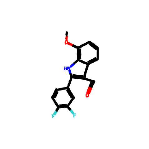 COc1cccc2c(C=O)c(-c3ccc(F)c(F)c3)[nH]c12